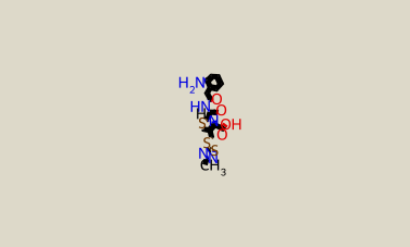 Cc1nsc(SCC2=C(C(=O)O)N3C(=O)C(NC(=O)Cc4ccccc4N)[C@@H]3SC2)n1